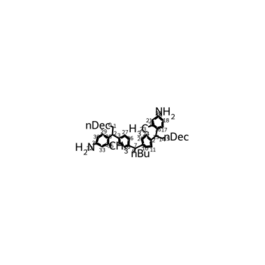 CCCCCCCCCCCC(c1ccc(C(CCCC)c2ccc(C(CCCCCCCCCCC)c3ccc(N)cc3C)cc2)cc1)c1ccc(N)cc1C